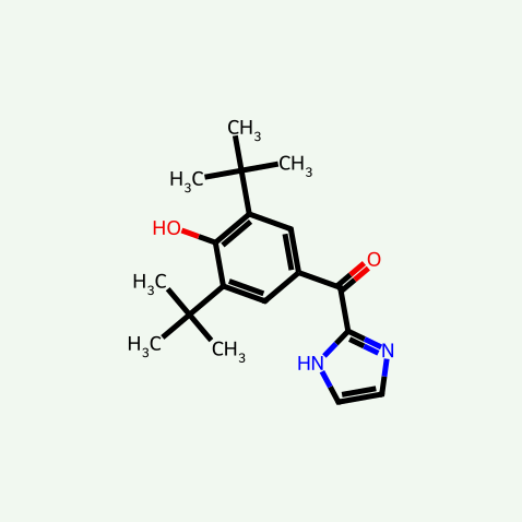 CC(C)(C)c1cc(C(=O)c2ncc[nH]2)cc(C(C)(C)C)c1O